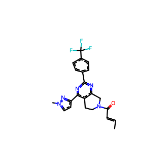 C/C=C/C(=O)N1CCc2c(nc(-c3ccc(C(F)(F)F)cc3)nc2-c2ccn(C)n2)C1